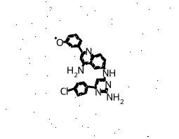 COc1cccc(-c2cc(N)c3cc(Nc4cc(-c5ccc(Cl)cc5)nc(N)n4)ccc3n2)c1